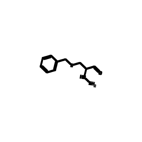 NNC(C=O)CSCc1ccccc1